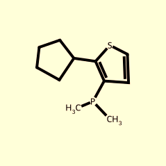 CP(C)c1ccsc1C1CCCC1